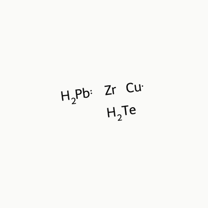 [Cu].[PbH2].[TeH2].[Zr]